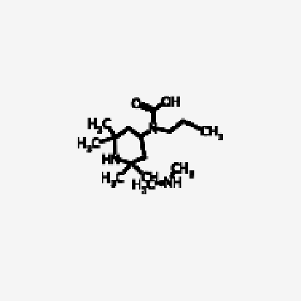 CCCN(C(=O)O)C1CC(C)(C)NC(C)(C)C1.CNC